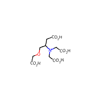 O=C(O)COCC(CC(=O)O)N(CC(=O)O)CC(=O)O